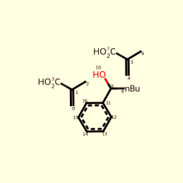 C=C(C)C(=O)O.C=C(C)C(=O)O.CCCCC(O)c1ccccc1